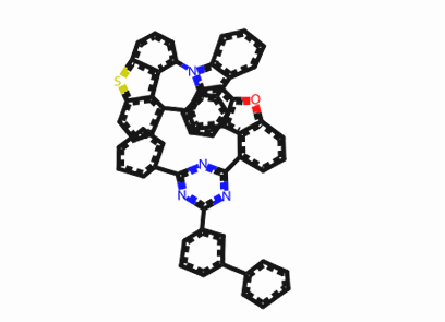 c1ccc(-c2cccc(-c3nc(-c4ccccc4)nc(-c4cccc5oc6ccc(-c7cccc8sc9cccc(-n%10c%11ccccc%11c%11ccccc%11%10)c9c78)cc6c45)n3)c2)cc1